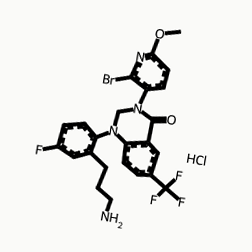 COc1ccc(N2CN(c3ccc(F)cc3CCCN)c3ccc(C(F)(F)F)cc3C2=O)c(Br)n1.Cl